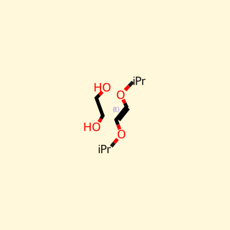 CC(C)O/C=C/OC(C)C.OCCO